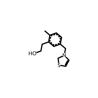 Cc1ccc(CN2C=CSC2)cc1CCO